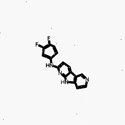 Fc1ccc(Nc2ccc3c(n2)[nH]c2ccncc23)cc1F